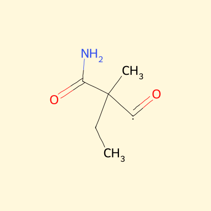 CCC(C)([C]=O)C(N)=O